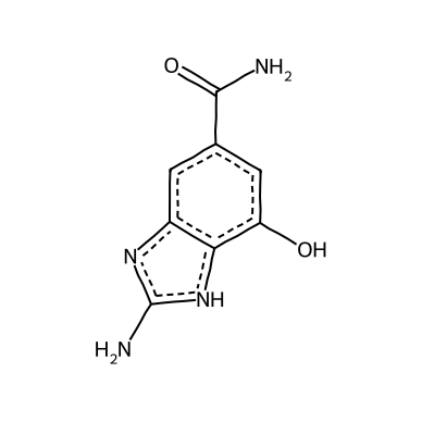 NC(=O)c1cc(O)c2[nH]c(N)nc2c1